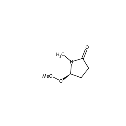 COO[C@@H]1CCC(=O)N1C